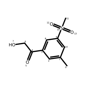 Cc1cc(C(=O)CO)cc(S(C)(=O)=O)c1